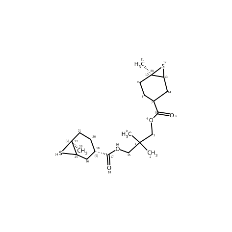 CC(C)(COC(=O)C1CC[C@@]2(C)SC2C1)COC(=O)[C@H]1CC[C@]2(C)SC2C1